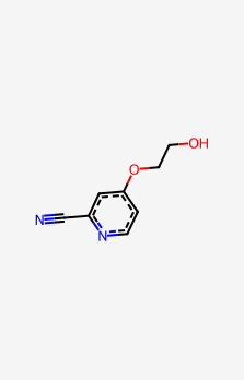 N#Cc1cc(OCCO)ccn1